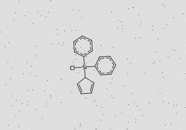 Cl[Si](c1ccccc1)(c1ccccc1)C1C=CC=C1